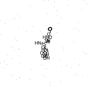 O=C(Nc1nnc(SCC(=O)N2CC[C@@H]3[C@H]2C(=O)N3S(=O)(=O)O)s1)OCc1ccccc1.[NaH]